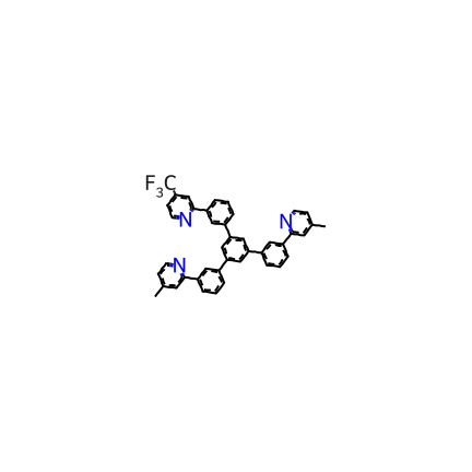 Cc1ccnc(-c2cccc(-c3cc(-c4cccc(-c5cc(C)ccn5)c4)cc(-c4cccc(-c5cc(C(F)(F)F)ccn5)c4)c3)c2)c1